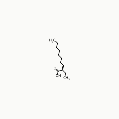 CCCCCCC/C=C(/CC)C(=O)O